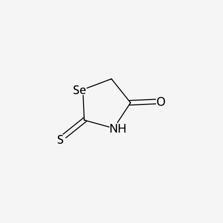 O=C1C[Se]C(=S)N1